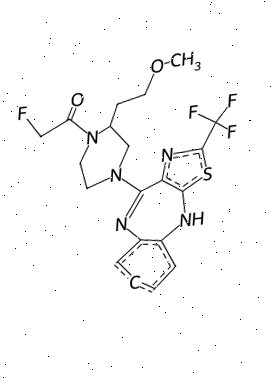 COCCC1CN(C2=Nc3ccccc3Nc3sc(C(F)(F)F)nc32)CCN1C(=O)CF